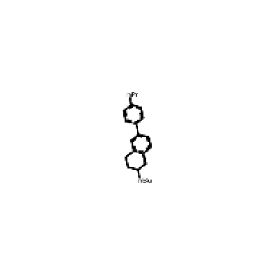 CCCCC1CCc2cc(-c3ccc(CCC)cc3)ccc2C1